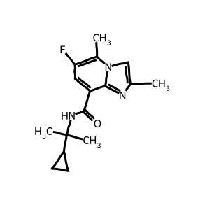 Cc1cn2c(C)c(F)cc(C(=O)NC(C)(C)C3CC3)c2n1